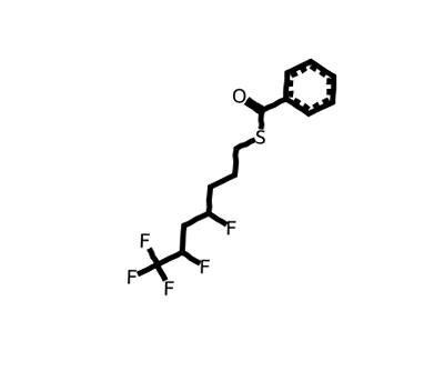 O=C(SCCCC(F)CC(F)C(F)(F)F)c1ccccc1